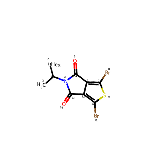 CCCCCCC(C)N1C(=O)c2c(Br)sc(Br)c2C1=O